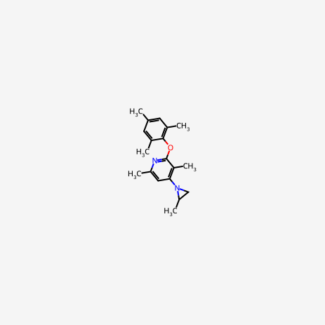 Cc1cc(C)c(Oc2nc(C)cc(N3CC3C)c2C)c(C)c1